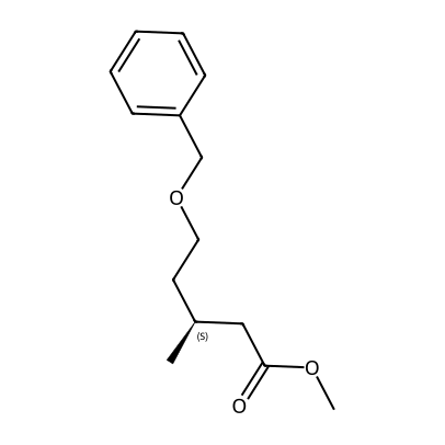 COC(=O)C[C@@H](C)CCOCc1ccccc1